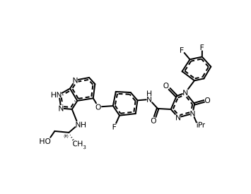 CC(C)n1nc(C(=O)Nc2ccc(Oc3ccnc4[nH]nc(N[C@H](C)CO)c34)c(F)c2)c(=O)n(-c2ccc(F)c(F)c2)c1=O